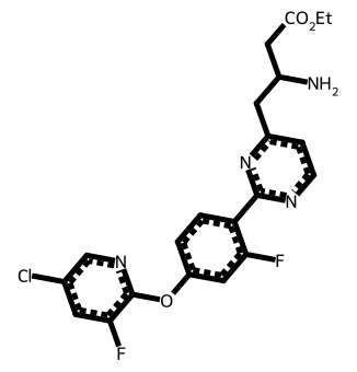 CCOC(=O)CC(N)Cc1ccnc(-c2ccc(Oc3ncc(Cl)cc3F)cc2F)n1